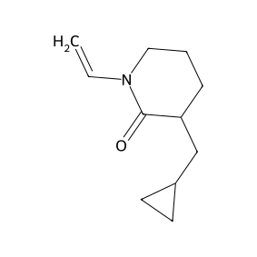 C=CN1CCCC(CC2CC2)C1=O